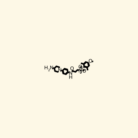 COc1cc(C)c(S(=O)(=O)N(C)CCC(=O)Nc2ccc(N3CCC(N)CC3)cc2)c(C)c1